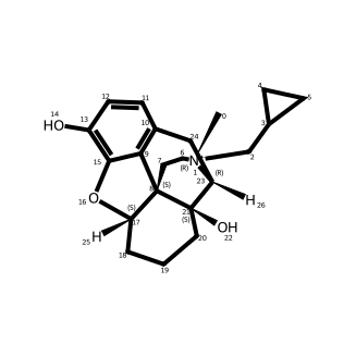 C[N@+]1(CC2CC2)CC[C@]23c4c5ccc(O)c4O[C@H]2CCC[C@@]3(O)[C@H]1C5